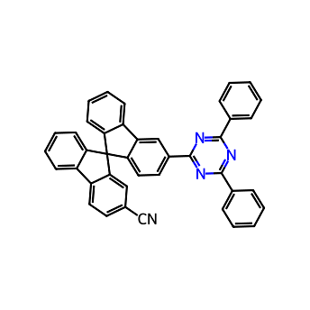 N#Cc1ccc2c(c1)C1(c3ccccc3-c3cc(-c4nc(-c5ccccc5)nc(-c5ccccc5)n4)ccc31)c1ccccc1-2